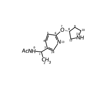 CC(=O)NC(C)c1ccc(O[C@@H]2CCNC2)nc1